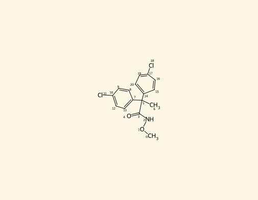 CONC(=O)C(C)(c1ccc(Cl)cc1)c1ccc(Cl)cc1